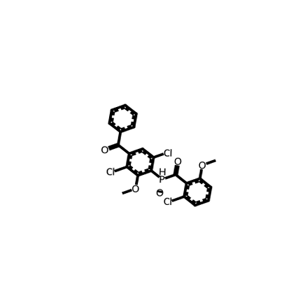 COc1cccc(Cl)c1C(=O)[PH](=O)c1c(Cl)cc(C(=O)c2ccccc2)c(Cl)c1OC